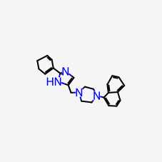 C1=CC(c2ncc(CN3CCN(c4cccc5ccccc45)CC3)[nH]2)=CCC1